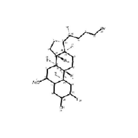 CC(=O)OC1C[C@H]2[C@@H]3CC[C@H]([C@H](C)CCCC(C)C)[C@@]3(C)CC[C@@H]2[C@@]2(C)CC(F)C(O)CC12